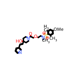 COc1cc(C)c(S(=O)(=O)N(C)CCOCC(=O)N2CCC(O)(C=Cc3cccnc3)CC2)c(C)c1